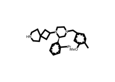 COc1cc(CN2CCN(C3CC4(CCNCC4)C3)[C@H](c3ccccc3C(C)C)C2)ccc1C